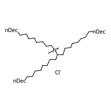 CCCCCCCCCCCCCCCCCCC(CCCCCCCCCCCCCCCCCC)[N+](C)(C)CCCCCCCCCCCCCCCCCC.[Cl-]